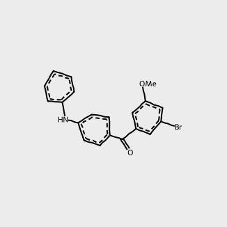 COc1cc(Br)cc(C(=O)c2ccc(Nc3ccccc3)cc2)c1